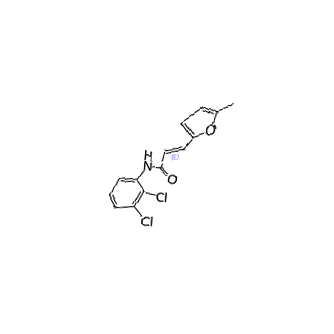 Cc1ccc(/C=C/C(=O)Nc2cccc(Cl)c2Cl)o1